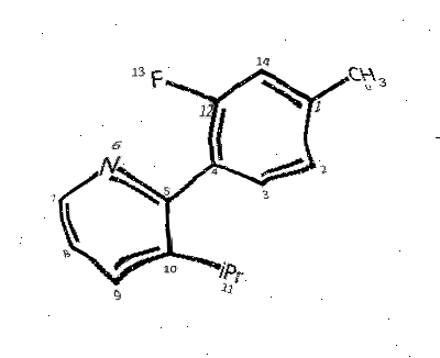 Cc1ccc(-c2ncccc2C(C)C)c(F)c1